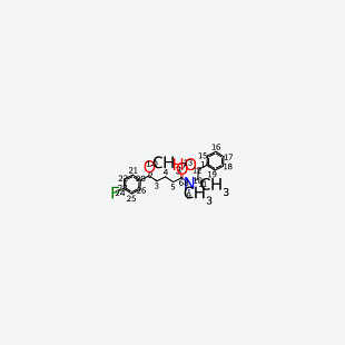 CO[C@@H](CCCC(=O)N(C)[C@@H](C)C(O)c1ccccc1)c1ccc(F)cc1